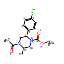 CC(C)C(=O)N1C[C@@H](c2ccc(F)cc2)N(C(=O)OC(C)(C)C)C[C@H]1C